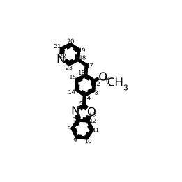 COc1cc(-c2nc3ccccc3o2)ccc1Cc1cccnc1